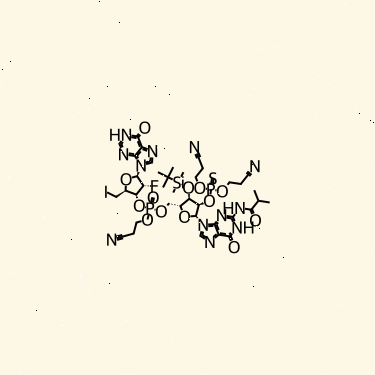 CC(C)C(=O)Nc1nc2c(ncn2[C@@H]2O[C@H](COP(=O)(OCCC#N)O[C@H]3[C@@H](F)[C@H](n4cnc5c(=O)[nH]cnc54)O[C@@H]3CI)[C@@H](O[Si](C)(C)C(C)(C)C)[C@H]2OP(=S)(OCCC#N)OCCC#N)c(=O)[nH]1